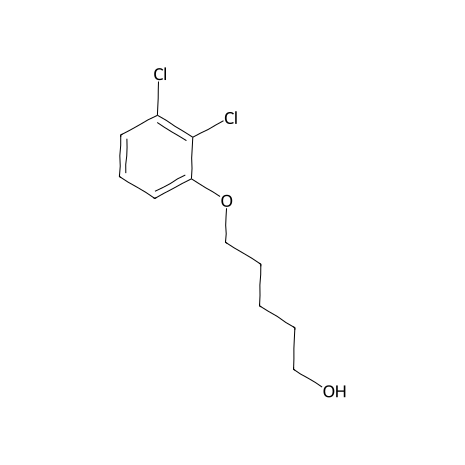 OCCCCCOc1cccc(Cl)c1Cl